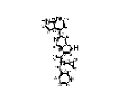 O=C(c1c[nH]c2cc(-c3ccnc4[nH]ccc34)ncc12)N(Cc1cccnc1)C1CC1